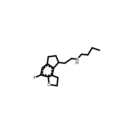 CCCCNCCC1CCc2cc(F)c3c(c21)CCO3